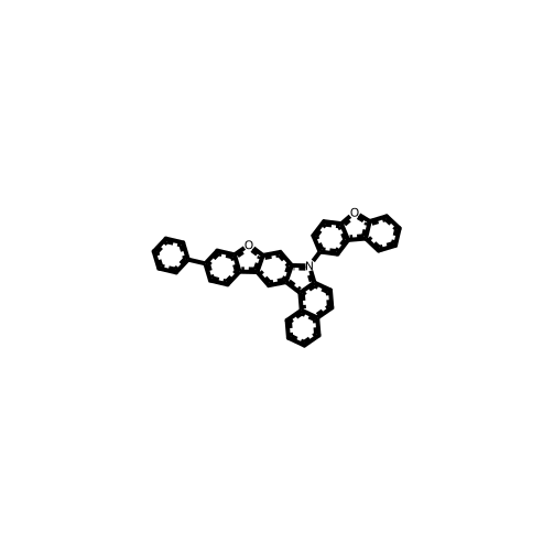 c1ccc(-c2ccc3c(c2)oc2cc4c(cc23)c2c3ccccc3ccc2n4-c2ccc3oc4ccccc4c3c2)cc1